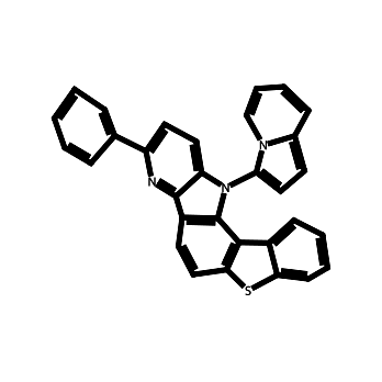 c1ccc(-c2ccc3c(n2)c2ccc4sc5ccccc5c4c2n3-c2ccc3ccccn23)cc1